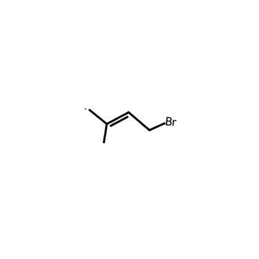 [CH2]C(C)=CCBr